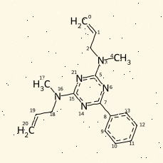 C=CCN(C)c1nc(-c2ccccc2)nc(N(C)CC=C)n1